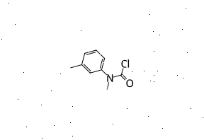 Cc1cccc(N(C)C(=O)Cl)c1